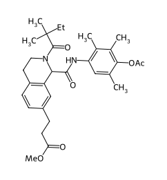 CCC(C)(C)C(=O)N1CCc2ccc(CCC(=O)OC)cc2C1C(=O)Nc1cc(C)c(OC(C)=O)c(C)c1C